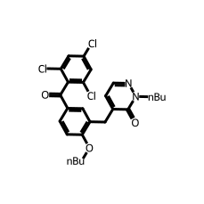 CCCCOc1ccc(C(=O)c2c(Cl)cc(Cl)cc2Cl)cc1Cc1ccnn(CCCC)c1=O